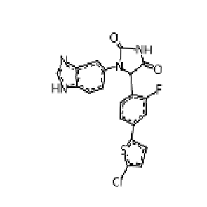 O=C1NC(=O)N(c2ccc3[nH]cnc3c2)C1c1ccc(-c2ccc(Cl)s2)cc1F